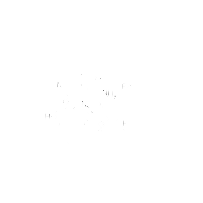 NC(=O)C(c1cccnc1)N(C(=O)c1ccccc1O)[C@@H]1COc2c(F)cc(F)cc21